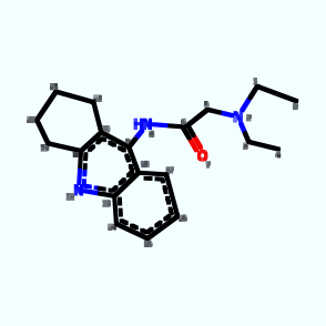 CCN(CC)CC(=O)Nc1c2c(nc3ccccc13)CCCC2